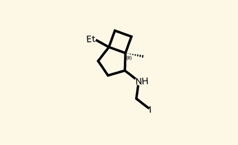 CCC12CCC(NCI)[C@]1(C)CC2